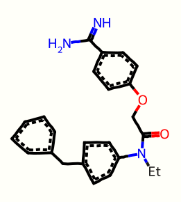 CCN(C(=O)COc1ccc(C(=N)N)cc1)c1ccc(Cc2ccccc2)cc1